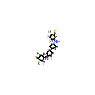 Fc1cc(Nc2ccc(-c3ccc(Nc4c(F)c(F)c(F)c(F)c4F)cc3)cc2)c(F)c(F)c1F